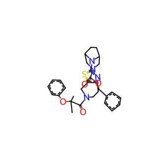 CC(C)(Oc1ccccc1)C(=O)N1CCc2nc(N3C4CCC3CN(C(=O)OCc3ccccc3)C4)sc2C1